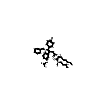 CCCCCCC(NC(=O)Cc1c(-c2ccc(F)cc2)n(Cc2ccccc2)c2ccc(OC(C)=O)cc12)C(=O)N(C)CCCC